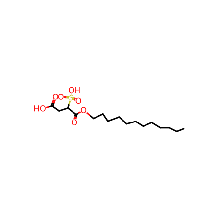 CCCCCCCCCCCCOC(=O)C(CC(=O)O)S(=O)(=O)O